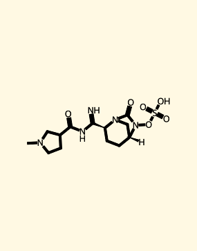 CN1CCC(C(=O)NC(=N)[C@@H]2CC[C@@H]3CN2C(=O)N3OS(=O)(=O)O)C1